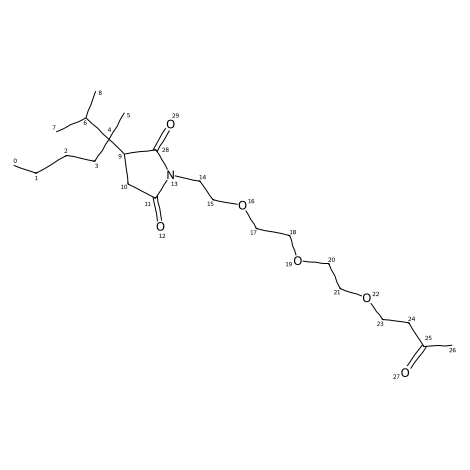 CCCCC(C)(C(C)C)C1CC(=O)N(CCOCCOCCOCCC(C)=O)C1=O